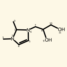 CC1N(C)C=CN1CC(O)CO